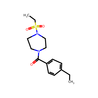 CCc1ccc(C(=O)N2CCN(S(=O)(=O)CC)CC2)cc1